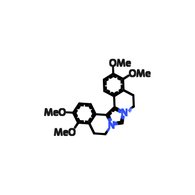 COc1ccc2c(c1OC)CCn1c[n+]3c(c1-2)-c1ccc(OC)c(OC)c1CC3